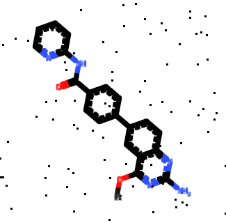 CCOc1nc(N)nc2ccc(-c3ccc(C(=O)Nc4ccccn4)cc3)cc12